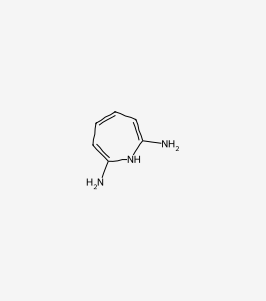 NC1=CC=CC=C(N)N1